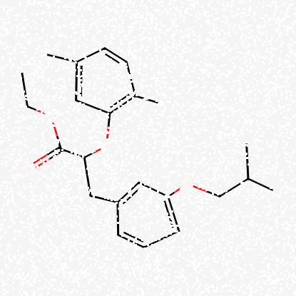 CCOC(=O)C(Cc1cccc(OCC(C)C)c1)Oc1cc(C)ccc1C